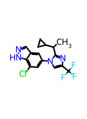 CC(c1nc(C(F)(F)F)cn1-c1cc(Cl)c2[nH]ncc2c1)C1CC1